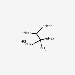 CCCCCCCC(CCCCCC)C(N)(CCCCCC)CCCCCC.Cl